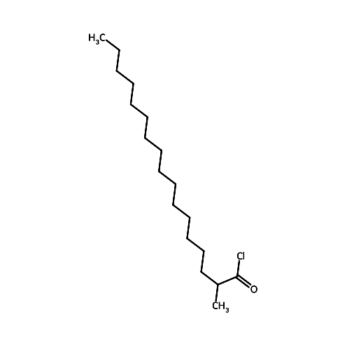 CCCCCCCCCCCCCCCC(C)C(=O)Cl